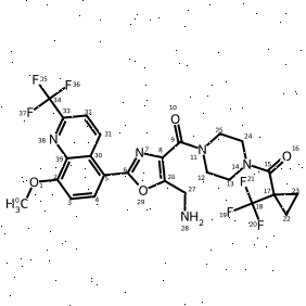 COc1ccc(-c2nc(C(=O)N3CCN(C(=O)C4(C(F)(F)F)CC4)CC3)c(CN)o2)c2ccc(C(F)(F)F)nc12